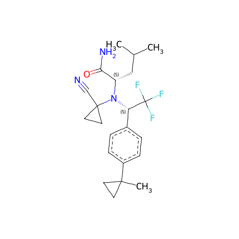 CC(C)C[C@@H](C(N)=O)N([C@@H](c1ccc(C2(C)CC2)cc1)C(F)(F)F)C1(C#N)CC1